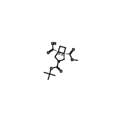 COC(=O)[C@@]12CC[C@]1(C(=O)O)CN(C(=O)OC(C)(C)C)C2